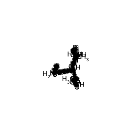 Cn1c(=O)n(C2CCC(=O)NC2=O)c2cccc(CCCCN(CCNC(=O)[C@H]3CC[C@H](n4cc5cc(NC(=O)c6cccc(C(F)(F)F)n6)c(C(C)(C)O)cc5n4)CC3)CC(=O)N3CC(N4CCC(c5ccc(Nc6nc(N7CCCCC7)cnc6C(N)=O)cc5)CC4)C3)c21